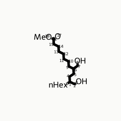 CCCCCCC(CO)CCC(CO)CCCCCCCC(=O)OC